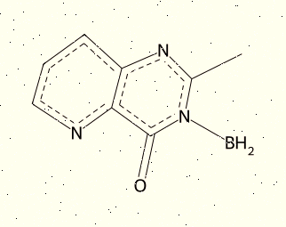 Bn1c(C)nc2cccnc2c1=O